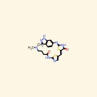 CN(C)CCCC(=O)Nc1ncc(/C=C2\SC(=Nc3ccc4cn[nH]c4c3)NC2=O)s1